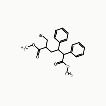 COC(=O)C(CBr)CC(c1ccccc1)C(C(=O)OC)c1ccccc1